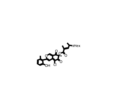 CCCCCCC(C)/C=C(\C)C(=O)O[C@@]1(C)C(=O)C2=COC(c3c(C)cccc3O)=CC2=C(Cl)C1=O